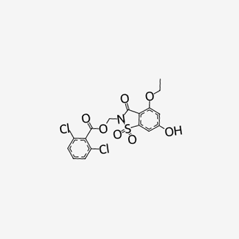 CCOc1cc(O)cc2c1C(=O)N(COC(=O)c1c(Cl)cccc1Cl)S2(=O)=O